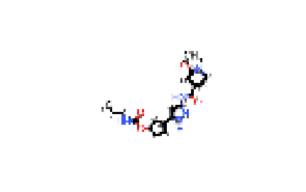 CCCNC(=O)OC1CCC(c2cc(NC(=O)c3ccnc(OC)c3)n[nH]2)C1